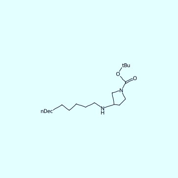 CCCCCCCCCCCCCCCNC1CCN(C(=O)OC(C)(C)C)C1